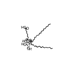 CCCCCCCCCCCCCCCCCC(=O)N(CCCCCCCCCCCCCC)[C@@H]1O[C@H](CO)[C@@H](O)[C@H](O)[C@@H]1NC(=O)CCCCCCC(=O)O